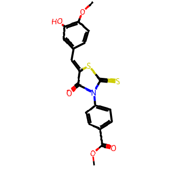 COC(=O)c1ccc(N2C(=O)/C(=C/c3ccc(OC)c(O)c3)SC2=S)cc1